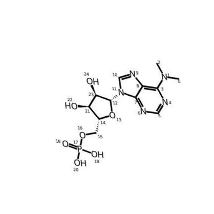 CN(C)c1ncnc2c1ncn2[C@@H]1O[C@H](COP(=O)(O)O)[C@@H](O)[C@H]1O